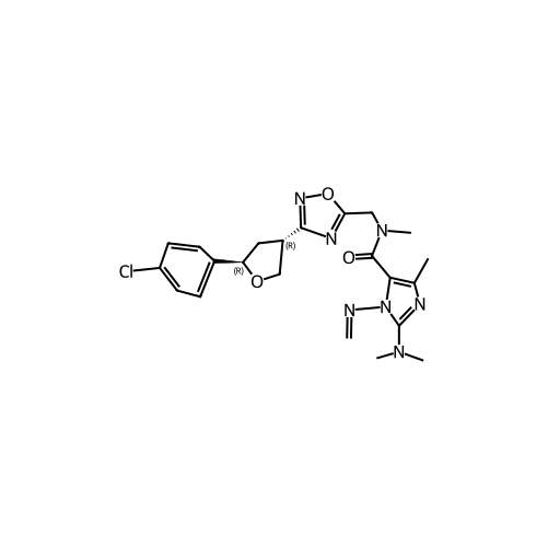 C=Nn1c(N(C)C)nc(C)c1C(=O)N(C)Cc1nc([C@@H]2CO[C@@H](c3ccc(Cl)cc3)C2)no1